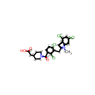 Cn1c(Cc2c(Cl)ccc(C(=O)N3CCC(CC(=O)O)CC3)c2Cl)cc2c(Cl)cc(Cl)cc21